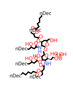 CCCCCCCCCCCCCCCC(=O)OC(CCCCCCCCCCC)CC(=O)NC1C(OC(=O)CC(O)CCCCCCCCCCC)[C@H](O)C(CO[C@@H]2OC(CO)CC(OC(=O)CC(CCCCCCCCCCC)OC(=O)CCCCCCCCCCCCCCC)C2NC(=O)CC(O)CCCCCCCCCCC)O[C@H]1CCOP(=O)(O)O